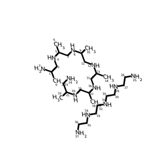 CC(N)CNC(C)CNC(C)CNC(C)CNC(C)CNC(C)CN.NCCNCCNCCNCCN